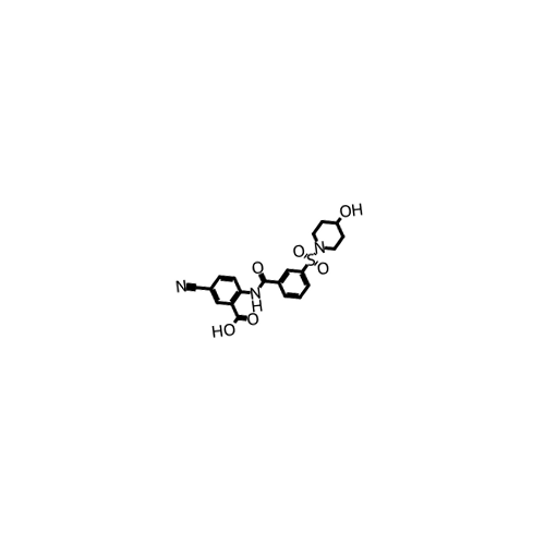 N#Cc1ccc(NC(=O)c2cccc(S(=O)(=O)N3CCC(O)CC3)c2)c(C(=O)O)c1